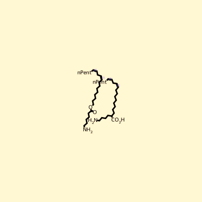 CCCCC/C=C\C/C=C\CCCCCCCCC(CCCCN)C(=O)O.CCCCC/C=C\C/C=C\CCCCCCCCOC(=O)CCCCCN